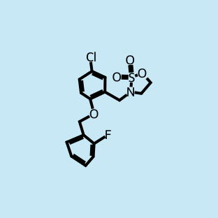 O=S1(=O)OCCN1Cc1cc(Cl)ccc1OCc1ccccc1F